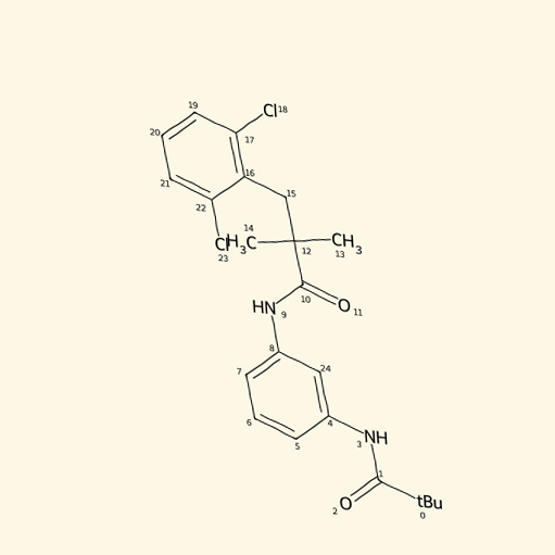 CC(C)(C)C(=O)Nc1cccc(NC(=O)C(C)(C)Cc2c(Cl)cccc2Cl)c1